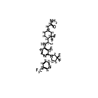 C[C@@H](Nc1ncnc(N2CC(F)(F)C[C@@H]2c2ccc(C(F)(F)F)cn2)c1F)[C@H]1CCN(CC(N)=O)CC1(F)F